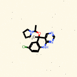 CC(OC1(C(F)(F)F)c2cc(Cl)ccc2Nc2ncncc21)N1CCCC1